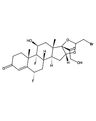 C[C@]12CCC(=O)C=C1[C@@H](F)C[C@H]1[C@@H]3C[C@H]4OC(CBr)O[C@@]4(C(=O)CO)[C@@]3(C)C[C@H](O)[C@@]12F